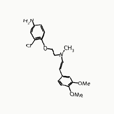 COc1ccc(C=CN(C)CCOc2ccc(N)cc2Cl)cc1OC